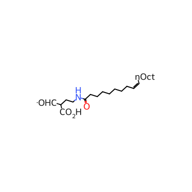 CCCCCCCC/C=C\CCCCCCCC(=O)NCCC([C]=O)C(=O)O